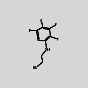 CCC(C)CCNc1cc(F)c(F)c(F)c1F